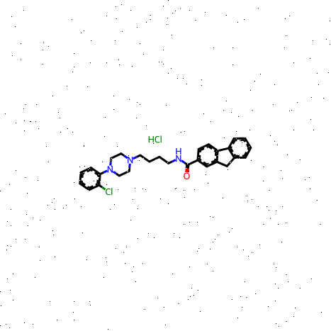 Cl.O=C(NCCCCN1CCN(c2ccccc2Cl)CC1)c1ccc2c(c1)Cc1ccccc1-2